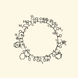 CC[C@H](C)C1C(=O)N(C)[C@@H](Cc2ccccc2)C(=O)N[C@H](C(=O)N2CCCCC2)CC(=O)N(C)CC(=O)NC(CC(C)C)C(=O)N(C)[C@@H](Cc2ccccc2)C(=O)N(C)[C@@H](CC(C)C)C(=O)N[C@@H](C)C(=O)N(C)[C@@H](C(C)C)C(=O)N(C)[C@@H](C)C(=O)N[C@@H]([C@@H](C)O)C(=O)N(C)CC(=O)N1C